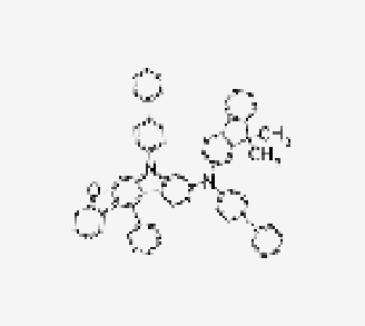 CC1(C)c2ccccc2-c2ccc(N(c3ccc(-c4ccccc4)cc3)c3ccc4c5c(-c6ccccc6)c6c(cc5n(-c5ccc(-c7ccccc7)cc5)c4c3)oc3ccccc36)cc21